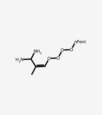 CCCCCOOOOC=C(C)C(N)N